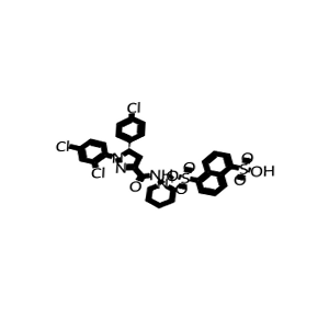 O=C(N[N+]1(OS(=O)(=O)c2cccc3c(S(=O)(=O)O)cccc23)CCCCC1)C1=NN(c2ccc(Cl)cc2Cl)[C@H](c2ccc(Cl)cc2)C1